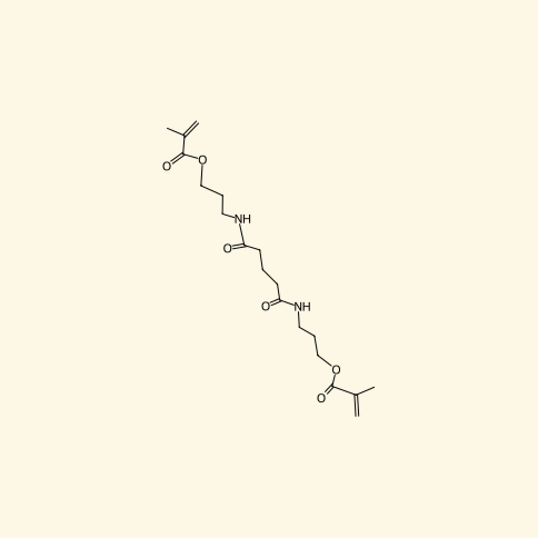 C=C(C)C(=O)OCCCNC(=O)CCCC(=O)NCCCOC(=O)C(=C)C